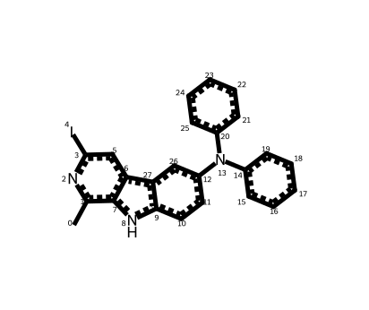 Cc1nc(I)cc2c1[nH]c1ccc(N(c3ccccc3)c3ccccc3)cc12